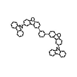 c1cc(-c2ccc3oc4ccc(-n5c6ccccc6c6ccccc65)cc4c3c2)cc(-c2ccc3oc4ccc(-n5c6ccccc6c6ccccc65)cc4c3c2)c1